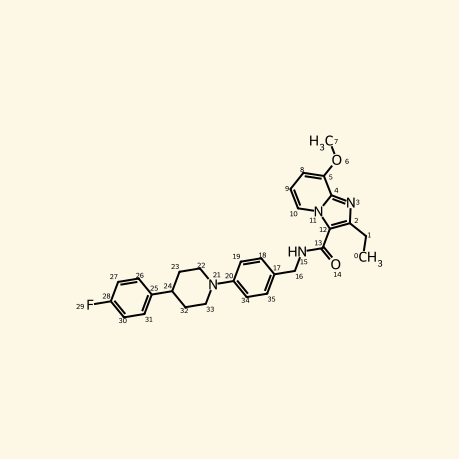 CCc1nc2c(OC)cccn2c1C(=O)NCc1ccc(N2CCC(c3ccc(F)cc3)CC2)cc1